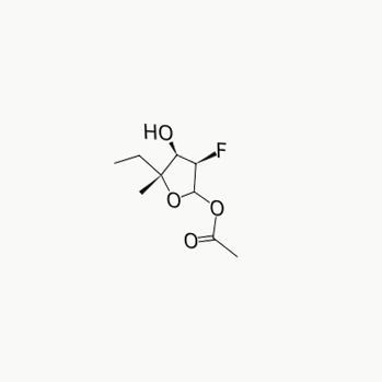 CC[C@@]1(C)OC(OC(C)=O)[C@H](F)[C@@H]1O